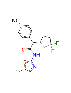 N#Cc1ccc(C(C(=O)Nc2ncc(Cl)s2)C2CCC(F)(F)C2)cc1